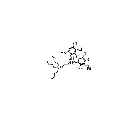 CCCC[N+](CCCC)(CCCC)CCCC.Sc1cc(Cl)c(Cl)c(Cl)c1S.Sc1cc(Cl)c(Cl)c(Cl)c1S.[Ni]